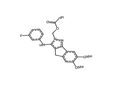 CCCC(=O)OCn1nc2c(c1Nc1cccc(F)c1)Cc1cc(OC)c(OC)cc1-2